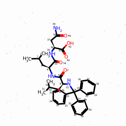 CC(C)C[C@H](NC(=O)[C@H](CC(C)C)NC(c1ccccc1)(c1ccccc1)c1ccccc1)C(=O)N[C@@H](CC(N)=O)C(=O)O